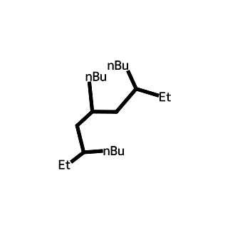 [CH2]CCCC(CC(CC)CCCC)CC(CC)CCCC